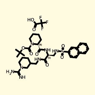 CC(C)(C)OC(=O)N1CCCC[C@@H]1C(=O)N[C@@H](CNS(=O)(=O)c1ccc2ccccc2c1)C(=O)NCC1CCCN(C(=N)N)C1.O=C(O)C(F)(F)F